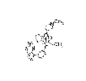 C=CC(=O)Nc1cc(Nc2ncn3cnc(-c4cccc(F)c4)c3n2)ccc1OC1CCN(C)C1